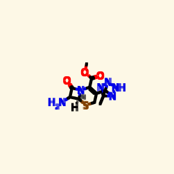 COC(=O)C1=C(C2N3N=C(C)N2N3)CS[C@H]2C(N)C(=O)N12